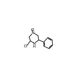 ClC1CN(Cl)CC(c2ccccc2)N1